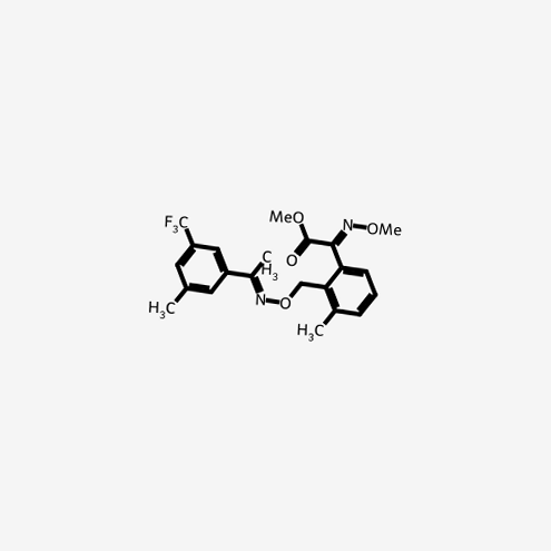 CO/N=C(/C(=O)OC)c1cccc(C)c1CO/N=C(\C)c1cc(C)cc(C(F)(F)F)c1